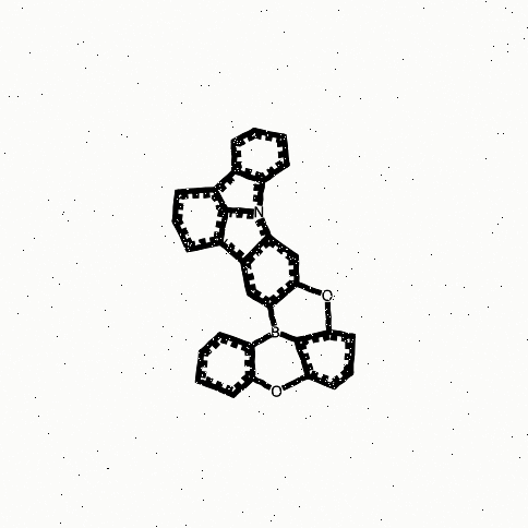 c1ccc2c(c1)Oc1cccc3c1B2c1cc2c4cccc5c6ccccc6n(c2cc1O3)c54